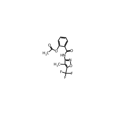 CC(=O)Oc1ccccc1C(=O)Nc1noc(C(F)(F)F)c1C